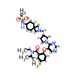 CCN(C(=O)c1cc(F)ccc1Oc1cncnc1N1CC[C@H](CN2CC3(CCC(NS(C)(=O)=O)CC3)C2)C1)C(C)C